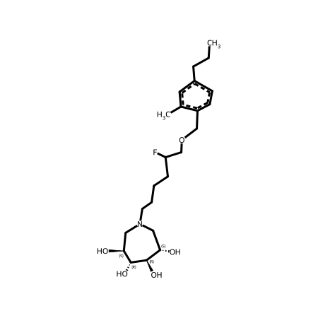 CCCc1ccc(COCC(F)CCCCN2C[C@H](O)[C@@H](O)[C@H](O)[C@@H](O)C2)c(C)c1